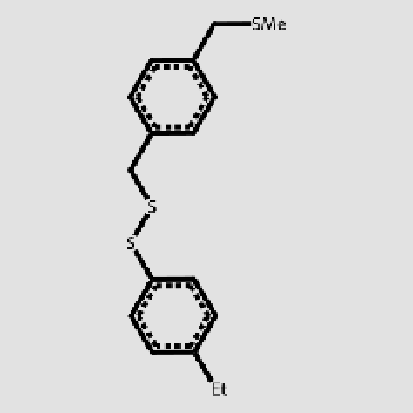 CCc1ccc(SSCc2ccc(CSC)cc2)cc1